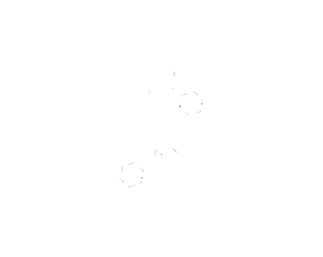 CC(C)[SiH](c1cccc(CCC(=O)NCc2ccccc2)c1)C(C)C